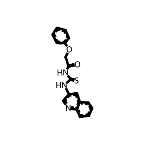 O=C(COc1ccccc1)NC(=S)Nc1cnc2ccccc2c1